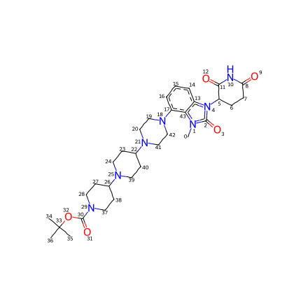 Cn1c(=O)n(C2CCC(=O)NC2=O)c2cccc(N3CCN(C4CCN(C5CCN(C(=O)OC(C)(C)C)CC5)CC4)CC3)c21